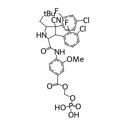 COc1cc(C(=O)OCOP(=O)(O)O)ccc1NC(=O)C1NC(CC(C)(C)C)C(C#N)(c2ccc(Cl)cc2F)C1c1cccc(Cl)c1F